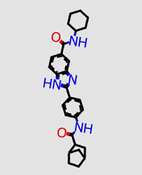 O=C(NC1CCCCC1)c1ccc2[nH]c(-c3ccc(NC(=O)C4CC5CCC4C5)cc3)nc2c1